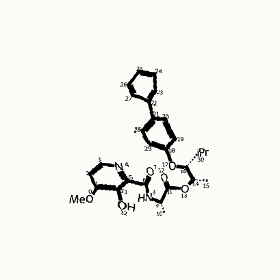 COc1ccnc(C(=O)N[C@@H](C)C(=O)O[C@@H](C)[C@H](Oc2ccc(-c3ccccc3)cc2)C(C)C)c1O